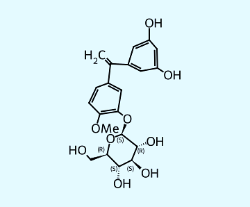 C=C(c1cc(O)cc(O)c1)c1ccc(OC)c(O[C@@H]2O[C@H](CO)[C@@H](O)[C@H](O)[C@H]2O)c1